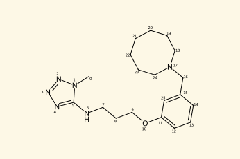 Cn1nnnc1NCCCOc1cccc(CN2CCCCCCC2)c1